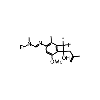 C=C(C)CC1(O)c2c(OC)cc(/N=C/N(C)CC)c(C)c2C1(F)F